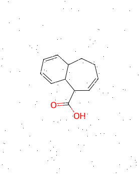 O=C(O)C1C=CCCC2C=CC=CC21